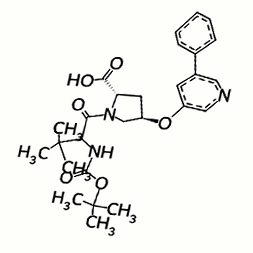 CC(C)(C)OC(=O)NC(C(=O)N1C[C@H](Oc2cncc(-c3ccccc3)c2)C[C@H]1C(=O)O)C(C)(C)C